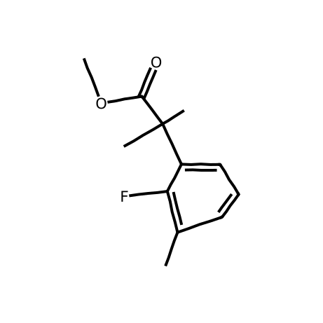 COC(=O)C(C)(C)c1cccc(C)c1F